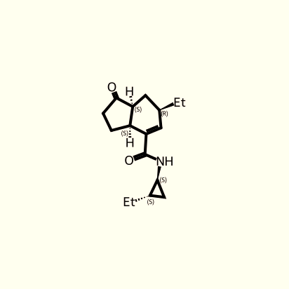 CC[C@H]1C=C(C(=O)N[C@H]2C[C@@H]2CC)[C@H]2CCC(=O)[C@H]2C1